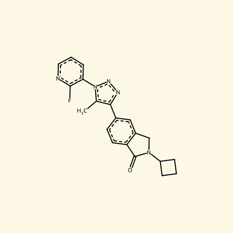 Cc1c(-c2ccc3c(c2)CN(C2CCC2)C3=O)nnn1-c1cccnc1F